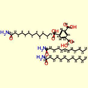 CCCCCCCCCCCC(N)=O.CCCCCCCCCCCC(N)=O.CCCCCCCCCCCC(N)=O.O=C(O)c1cc(C(=O)O)cc(C(=O)O)c1